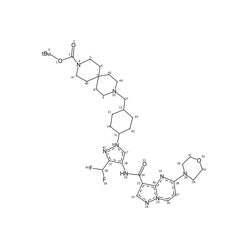 CC(C)(C)OC(=O)N1CCC2(CCN(CC3CCC(n4cc(NC(=O)c5cnn6ccc(N7CCOCC7)nc56)c(C(F)F)n4)CC3)CC2)CC1